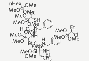 C=CC(NCC)(C(C)NCc1ccccc1)[Si](OC)(OC)OC.CCC(Cl)[Si](OC)(OC)OC.CCC(NC(C)NCc1ccccc1)[Si](OC)(OC)OC.CCC(S)[Si](OC)(OC)OC.CCCCCC[Si](OC)(OC)OC